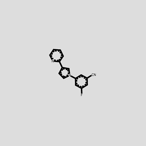 N#Cc1cc(F)cc(-n2ccc(-c3ccccn3)c2)c1